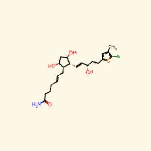 Cc1cc(CC[C@H](O)C=C[C@@H]2[C@@H](CC=CCCCC(N)=O)[C@@H](O)C[C@H]2O)sc1Br